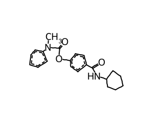 CN(C(=O)Oc1ccc(C(=O)NC2CCCCC2)cc1)c1ccccc1